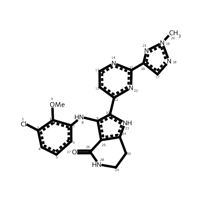 COc1c(Cl)cccc1Nc1c(-c2ccnc(-c3cnn(C)n3)n2)[nH]c2c1C(=O)NCC2